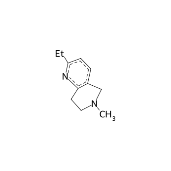 CCc1ccc2c(n1)CCN(C)C2